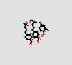 CC(C)(O)CCCC1=CCC(C=O)CC1.CC(C)=CCCC1=CCC(C=O)CC1.CC1=CC(C)C(C=O)CC1